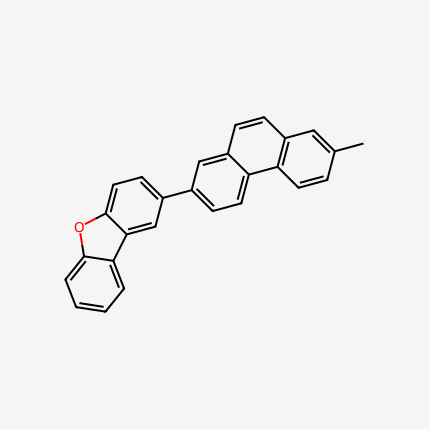 Cc1ccc2c(ccc3cc(-c4ccc5oc6ccccc6c5c4)ccc32)c1